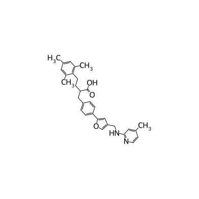 Cc1ccnc(NCc2coc(-c3ccc(CC(CCc4c(C)cc(C)cc4C)C(=O)O)cc3)c2)c1